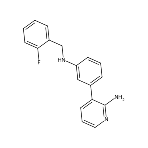 Nc1ncccc1-c1cccc(NCc2ccccc2F)c1